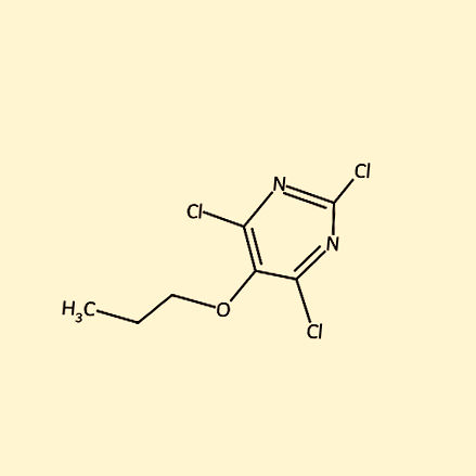 CCCOc1c(Cl)nc(Cl)nc1Cl